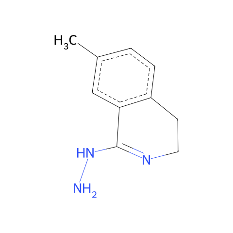 Cc1ccc2c(c1)C(NN)=NCC2